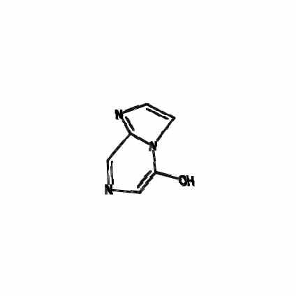 Oc1cncc2nccn12